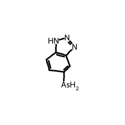 [AsH2]c1ccc2[nH]nnc2c1